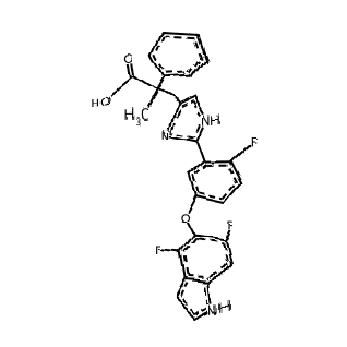 CC(C(=O)O)(c1ccccc1)c1c[nH]c(-c2cc(Oc3c(F)cc4[nH]ccc4c3F)ccc2F)n1